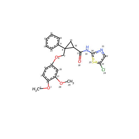 COc1ccc(OCC2(c3ccccc3)CC2C(=O)Nc2ncc(Cl)s2)cc1OC